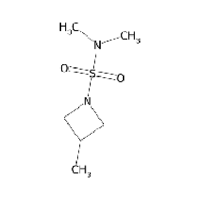 CC1CN(S(=O)(=O)N(C)C)C1